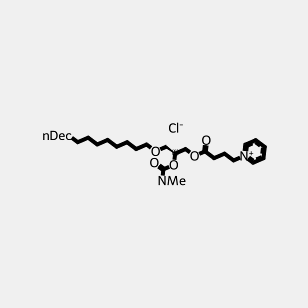 CCCCCCCCCCCCCCCCCCOC[C@@H](COC(=O)CCC[n+]1ccccc1)OC(=O)NC.[Cl-]